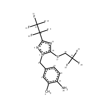 Cc1cc(Cn2nc(C(F)(F)C(F)(F)F)nc2SCC(F)(F)F)ccc1N